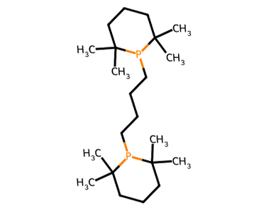 CC1(C)CCCC(C)(C)P1CCCCP1C(C)(C)CCCC1(C)C